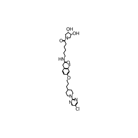 O=C(Cc1ccc(OCCCC2CCN(c3ncc(Cl)cn3)CC2)cc1F)NCCCCCC(=O)N1C[C@H](O)[C@@H](O)C1